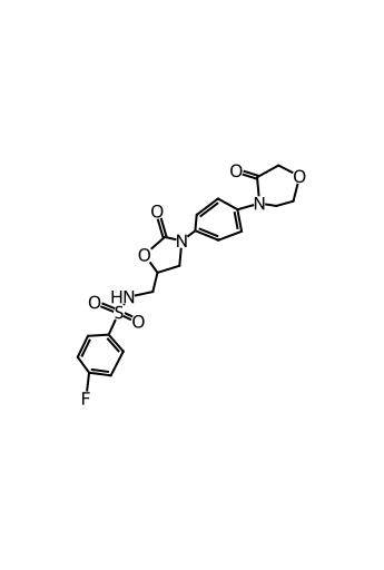 O=C1COCCN1c1ccc(N2CC(CNS(=O)(=O)c3ccc(F)cc3)OC2=O)cc1